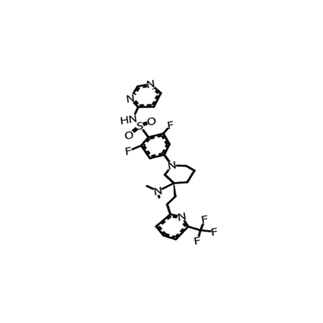 CN(C)[C@@]1(CCc2cccc(C(F)(F)F)n2)CCCN(c2cc(F)c(S(=O)(=O)Nc3ccncn3)c(F)c2)C1